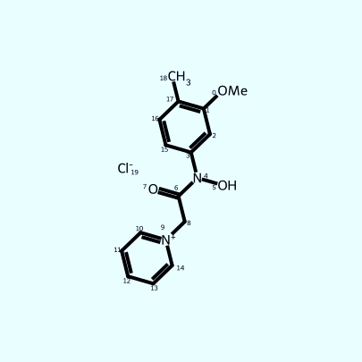 COc1cc(N(O)C(=O)C[n+]2ccccc2)ccc1C.[Cl-]